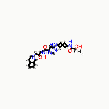 CC(O)C(=O)NC1CC2(C1)CC(Nc1cc(C(=O)NC[C@H](O)CN3CCc4ccccc4C3)ncn1)C2